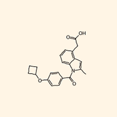 Cc1cc2c(CC(=O)O)cccc2n1C(=O)c1ccc(OC2CCC2)cc1